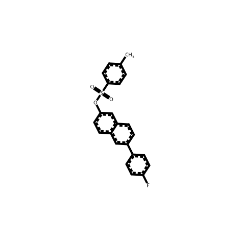 Cc1ccc(S(=O)(=O)Oc2ccc3cc(-c4ccc(F)cc4)ccc3c2)cc1